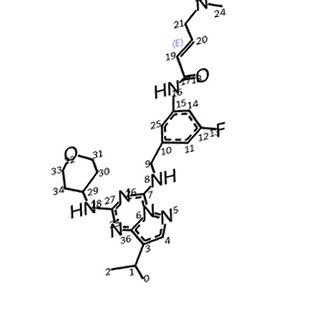 CC(C)c1cnn2c(NCc3cc(F)cc(NC(=O)/C=C/CN(C)C)c3)nc(NC3CCOCC3)nc12